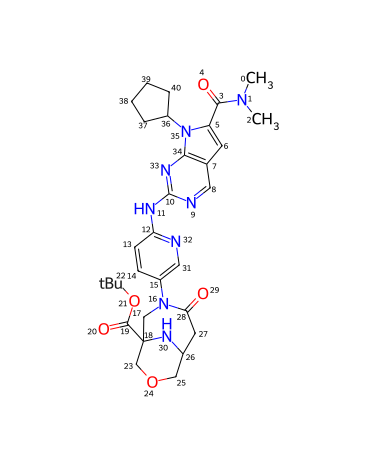 CN(C)C(=O)c1cc2cnc(Nc3ccc(N4CC5(C(=O)OC(C)(C)C)COCC(CC4=O)N5)cn3)nc2n1C1CCCC1